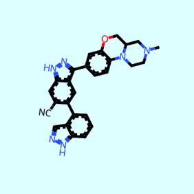 CN1CCN2c3ccc(-c4n[nH]c5cc(C#N)c(-c6cccc7[nH]ncc67)cc45)cc3OCC2C1